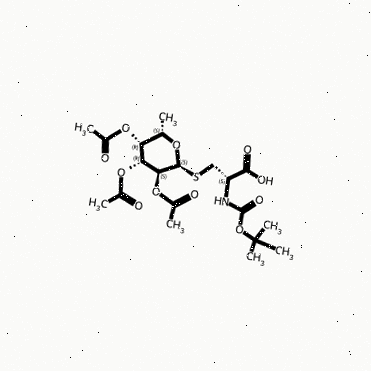 CC(=O)O[C@@H]1[C@H](OC(C)=O)[C@H](C)O[C@@H](SC[C@@H](NC(=O)OC(C)(C)C)C(=O)O)[C@H]1OC(C)=O